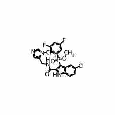 COP(=O)(c1cc(F)cc(F)c1)c1c(C(=O)NCc2cncn2C)[nH]c2ccc(Cl)cc12